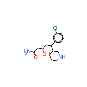 NC(=O)CC(O)CC(c1cccc(Cl)c1)C1CCCNC1